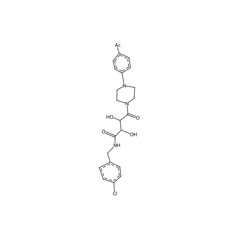 CC(=O)c1ccc(N2CCN(C(=O)C(O)C(O)C(=O)NCc3ccc(Cl)cc3)CC2)cc1